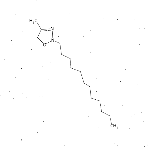 CCCCCCCCCCCCN1N=C(C)CO1